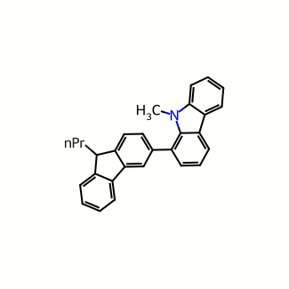 CCCC1c2ccccc2-c2cc(-c3cccc4c5ccccc5n(C)c34)ccc21